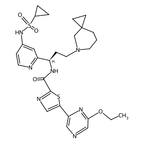 CCOc1cncc(-c2cnc(C(=O)N[C@H](CCN3CCCC4(CC4)C3)c3cc(NS(=O)(=O)C4CC4)ccn3)s2)n1